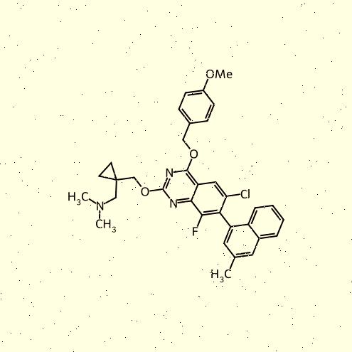 COc1ccc(COc2nc(OCC3(CN(C)C)CC3)nc3c(F)c(-c4cc(C)cc5ccccc45)c(Cl)cc23)cc1